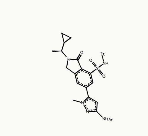 CCNS(=O)(=O)c1cc(-c2cc(NC(C)=O)nn2C)cc2c1C(=O)N([C@@H](C)C1CC1)C2